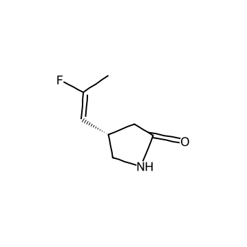 C/C(F)=C\[C@H]1CNC(=O)C1